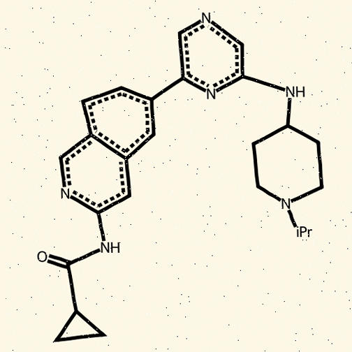 CC(C)N1CCC(Nc2cncc(-c3ccc4cnc(NC(=O)C5CC5)cc4c3)n2)CC1